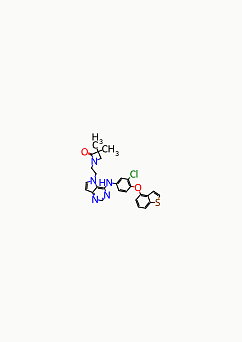 CC1(C)CN(CCn2ccc3ncnc(Nc4ccc(Oc5cccc6sccc56)c(Cl)c4)c32)C1=O